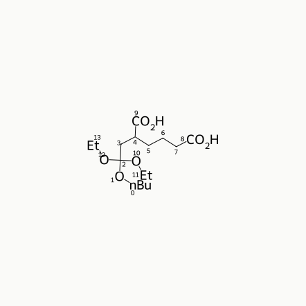 CCCCOC(CC(CCCC(=O)O)C(=O)O)(OCC)OCC